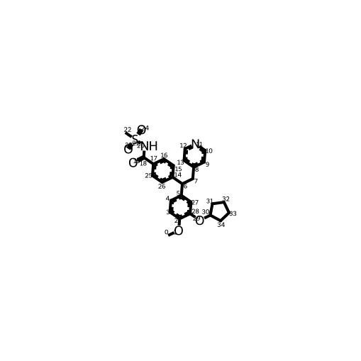 COc1ccc(C(Cc2ccncc2)c2ccc(C(=O)NS(C)(=O)=O)cc2)cc1OC1CCCC1